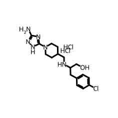 Cl.Cl.Nc1n[nH]c(N2CCC(CNC(CO)Cc3ccc(Cl)cc3)CC2)n1